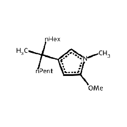 CCCCCCC(C)(CCCCC)c1cc(OC)n(C)c1